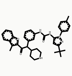 Cc1ccc(-n2nc(C(C)(C)C)cc2NC(=O)Nc2cccc(C(C(=O)c3oc4ccccc4c3C)C3CCNCC3)c2)cc1